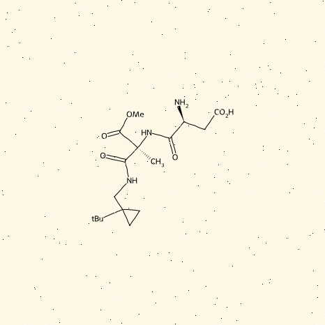 COC(=O)[C@@](C)(NC(=O)[C@@H](N)CC(=O)O)C(=O)NCC1(C(C)(C)C)CC1